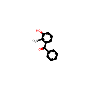 O=C(c1ccccc1)c1cccc(O)c1[N+](=O)[O-]